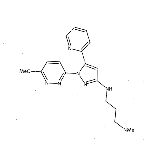 CNCCCNc1cc(-c2ccccn2)n(-c2ccc(OC)nn2)n1